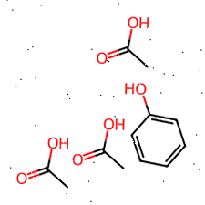 CC(=O)O.CC(=O)O.CC(=O)O.Oc1ccccc1